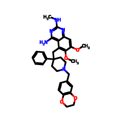 CNc1nc(N)c2c(CC3(c4ccccc4)CCN(Cc4ccc5c(c4)OCCO5)CC3)c(OC)c(OC)cc2n1